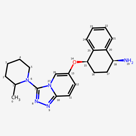 CC1CCCCN1c1nnc2ccc(O[C@@H]3CC[C@H](N)c4ccccc43)cn12